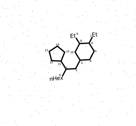 CCCCCCC(CC1CCC(CC)C(CC)C1)C1CCCC1